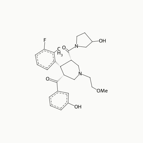 COCCN1C[C@H](C(=O)c2cccc(O)c2)[C@H](c2cccc(F)c2C)[C@H](C(=O)N2CCC(O)C2)C1